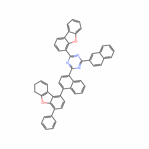 C1=Cc2c(oc3c(-c4ccccc4)ccc(-c4ccc(-c5nc(-c6ccc7ccccc7c6)nc(-c6cccc7c6oc6ccccc67)n5)c5ccccc45)c23)CC1